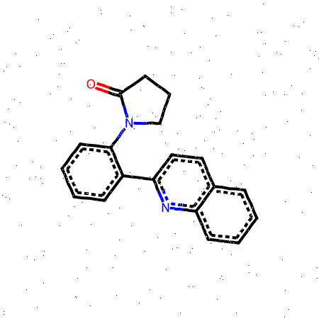 O=C1CCCN1c1ccccc1-c1ccc2ccccc2n1